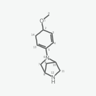 COC1C=CC(N2CC3CC2CN3)=CC1